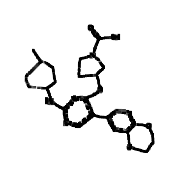 CC1CCC(Nc2ncc(-c3ccc4c(c3)OCCO4)c(OC3CCN(C(=O)O)C3)n2)CC1